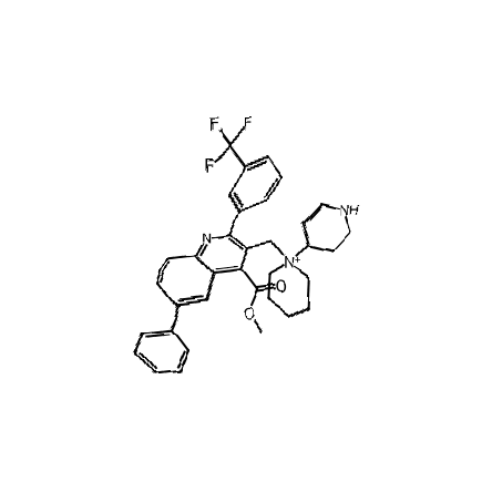 COC(=O)c1c(C[N+]2(C3CCNCC3)CCCCC2)c(-c2cccc(C(F)(F)F)c2)nc2ccc(-c3ccccc3)cc12